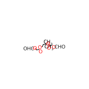 CC(C)(CCOC(=O)COC=O)OC(=O)COC=O